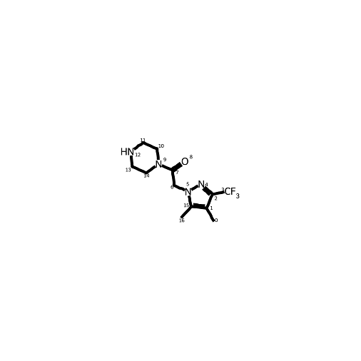 Cc1c(C(F)(F)F)nn(CC(=O)N2CCNCC2)c1C